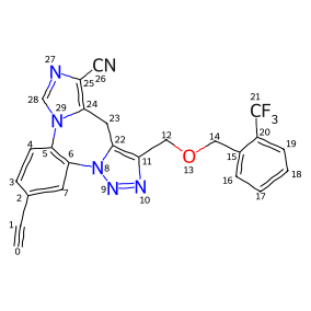 C#Cc1ccc2c(c1)-n1nnc(COCc3ccccc3C(F)(F)F)c1Cc1c(C#N)ncn1-2